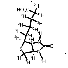 [2H]N1C(=O)N([2H])[C@@]2([2H])C([2H])([2H])S[C@@]([2H])(C([2H])([2H])C([2H])([2H])C([2H])([2H])C([2H])([2H])C(=O)O)[C@@]12[2H]